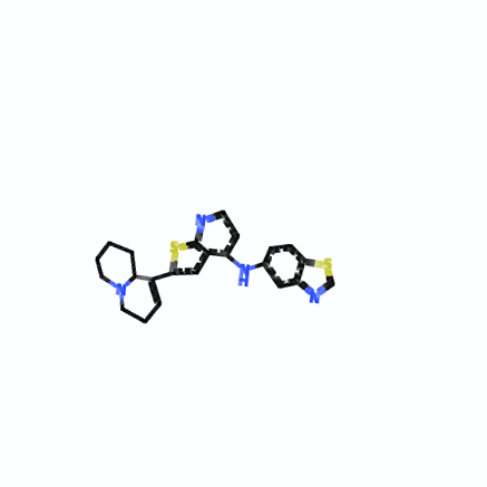 C1=C(c2cc3c(Nc4ccc5scnc5c4)ccnc3s2)C2CCCCN2CC1